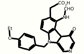 CCOc1ccc(CN2C3=CN=CC(=O)C3c3c2ccc(CC(=O)O)c3NC=O)cc1